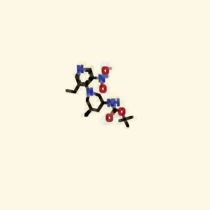 CCc1cncc([N+](=O)[O-])c1N1C[C@H](C)C[C@H](NC(=O)OC(C)(C)C)C1